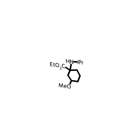 CCOC(=O)C1(NC(C)C)CCCC(OC)C1